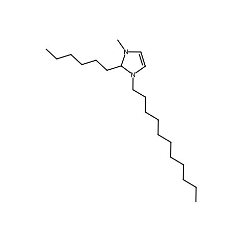 CCCCCCCCCCCN1C=CN(C)C1CCCCCC